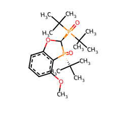 COc1cccc2c1[P@@](=O)(C(C)(C)C)[C@H](P(=O)(C(C)(C)C)C(C)(C)C)O2